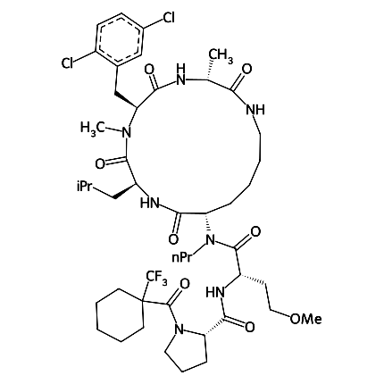 CCCN(C(=O)[C@H](CCOC)NC(=O)[C@@H]1CCCN1C(=O)C1(C(F)(F)F)CCCCC1)[C@H]1CCCCNC(=O)[C@@H](C)NC(=O)[C@H](Cc2cc(Cl)ccc2Cl)N(C)C(=O)[C@H](CC(C)C)NC1=O